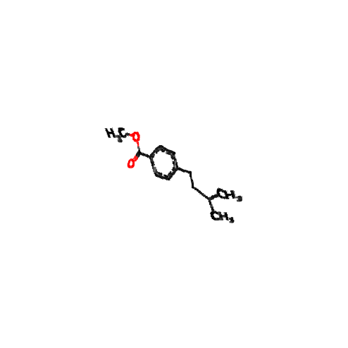 COC(=O)c1ccc(CCC(C)C)cc1